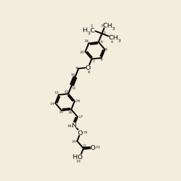 CC(C)(C)c1ccc(OCC#Cc2cccc(C=NOCC(=O)O)c2)cc1